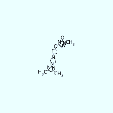 Cc1cc(C)nc(N2CCN(C3CCC(Oc4cnn(C)c(=O)n4)CC3)CC2)n1